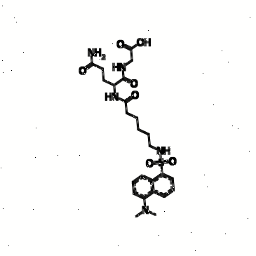 CN(C)c1cccc2c(S(=O)(=O)NCCCCCC(=O)NC(CCC(N)=O)C(=O)NCC(=O)O)cccc12